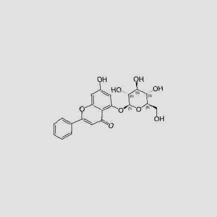 O=c1cc(-c2ccccc2)oc2cc(O)cc(O[C@@H]3O[C@H](CO)[C@@H](O)[C@H](O)[C@H]3O)c12